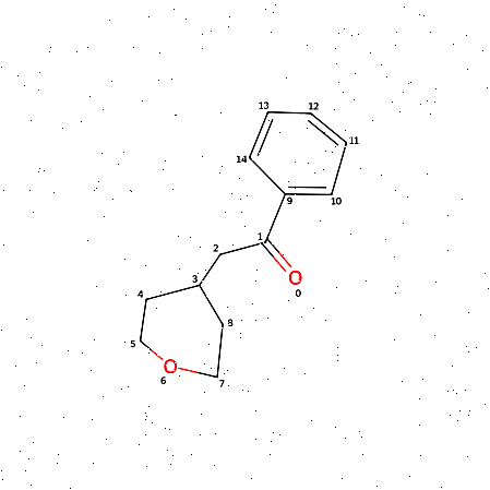 O=C(CC1CCOCC1)c1ccccc1